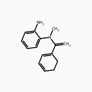 C=C(C1=CC=CCC1)N(C)c1ccccc1N